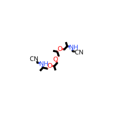 CC(COC(C)COCC(C)OCC(C)NCC#N)NCC#N